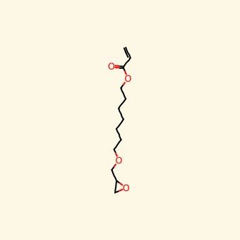 C=CC(=O)OCCCCCCCOCC1CO1